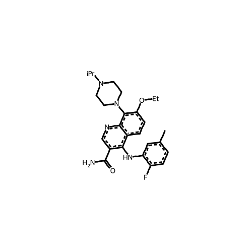 CCOc1ccc2c(Nc3cc(C)ccc3F)c(C(N)=O)cnc2c1N1CCN(C(C)C)CC1